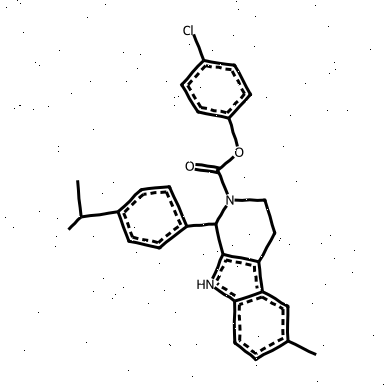 Cc1ccc2[nH]c3c(c2c1)CCN(C(=O)Oc1ccc(Cl)cc1)C3c1ccc(C(C)C)cc1